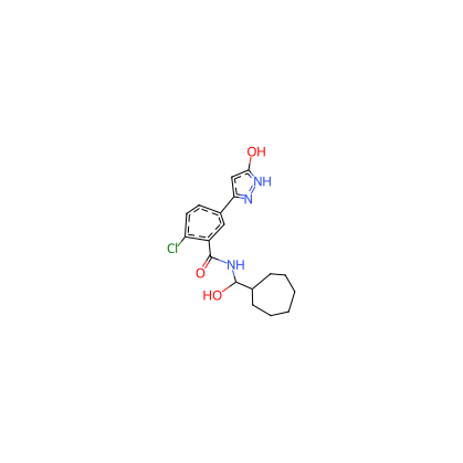 O=C(NC(O)C1CCCCCC1)c1cc(-c2cc(O)[nH]n2)ccc1Cl